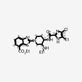 CCNC1CN(c2nc3cccc(C(=O)OCC)c3s2)CCC1NC(=O)c1nc(Cl)c(CC)[nH]1